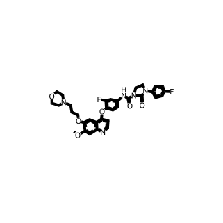 COc1cc2nccc(Oc3ccc(NC(=O)N4CCN(c5ccc(F)cc5)C4=O)cc3F)c2cc1OCCCN1CCOCC1